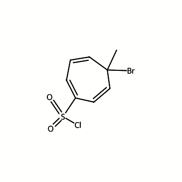 CC1(Br)C=CC=C(S(=O)(=O)Cl)C=C1